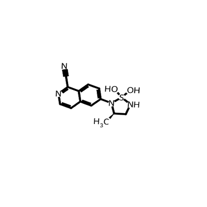 C[C@@H]1CNS(O)(O)N1c1ccc2c(C#N)nccc2c1